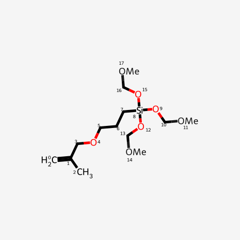 C=C(C)COCCC[Si](OCOC)(OCOC)OCOC